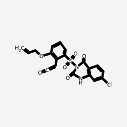 C=CCOc1cccc(S(=O)(=O)n2c(=O)[nH]c3cc(Cl)ccc3c2=O)c1C=C=O